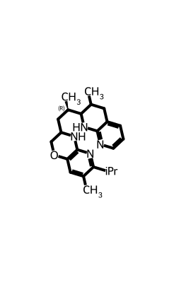 Cc1cc2c(nc1C(C)C)NC(C[C@@H](C)C1Nc3ncccc3CC1C)CO2